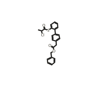 CC(Cl)C(=O)Sc1ccccc1-c1ccc(CC(=O)OCc2ccccc2)cc1